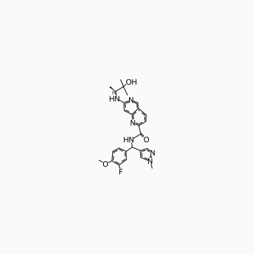 COc1ccc(C(NC(=O)c2ccc3cnc(N[C@@H](C)C(C)(C)O)cc3n2)c2cnn(C)c2)cc1F